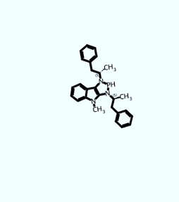 C[C@@H](Cc1ccccc1)N1PN([C@@H](C)Cc2ccccc2)c2c1c1ccccc1n2C